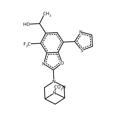 CC(O)c1cc(-c2nccs2)c2oc(N3CC4CC(C3)N4C(=O)O)nc2c1C(F)(F)F